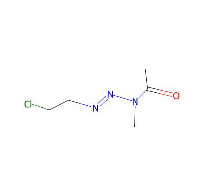 CC(=O)N(C)N=NCCCl